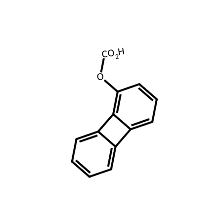 O=C(O)Oc1cccc2c1-c1ccccc1-2